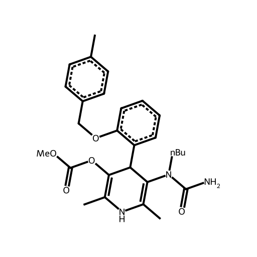 CCCCN(C(N)=O)C1=C(C)NC(C)=C(OC(=O)OC)C1c1ccccc1OCc1ccc(C)cc1